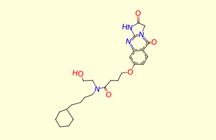 O=C1Cn2c(nc3cc(OCCCC(=O)N(CCO)CCCCC4CCCCC4)ccc3c2=O)N1